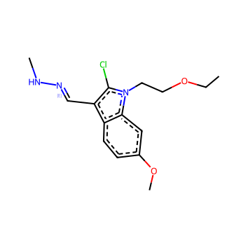 CCOCCn1c(Cl)c(/C=N/NC)c2ccc(OC)cc21